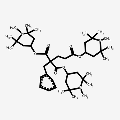 CN1C(C)(C)CC(OC(=O)CCC(Cc2ccccc2)(C(=O)OC2CC(C)(C)N(C)C(C)(C)C2)C(=O)OC2CC(C)(C)N(C)C(C)(C)C2)CC1(C)C